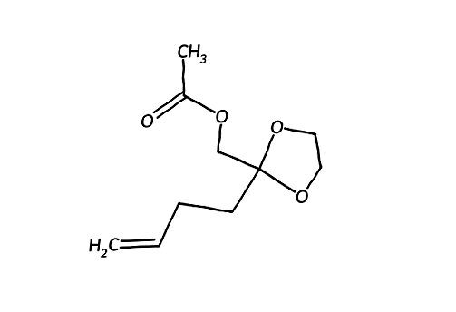 C=CCCC1(COC(C)=O)OCCO1